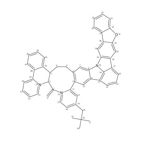 C=C1C2C(CCc3cc4c(cc3-c3cc(CC(C)(C)C)cc[n+]31)c1cccc3c5cc6oc7ccccc7c6cc5n4c13)c1ccccc1-c1cccc[n+]12